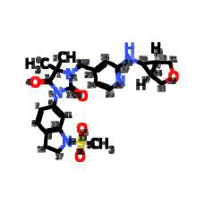 CC1(C)C(=O)N(c2ccc3c(c2)N(S(C)(=O)=O)CC3)C(=O)N1Cc1ccnc(NC2[C@H]3COC[C@@H]23)c1